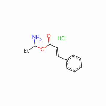 CCC(N)OC(=O)C=Cc1ccccc1.Cl